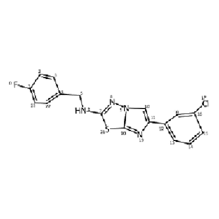 Fc1ccc(CNc2nn3cc(-c4cccc(Cl)c4)nc3s2)cc1